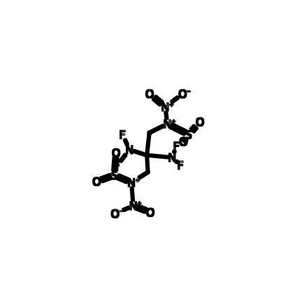 O=[N+]([O-])[N+](CC(C[N+]([N+](=O)[O-])=S(=O)=O)(N(F)F)N(F)F)=S(=O)=O